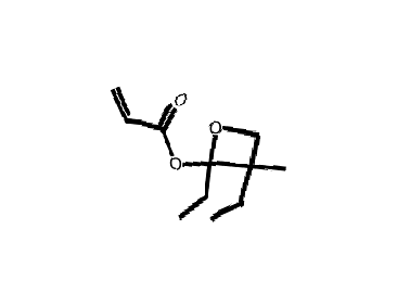 C=CC(=O)OC1(CC)OCC1(C)CC